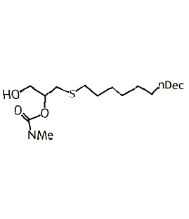 CCCCCCCCCCCCCCCCSCC(CO)OC(=O)NC